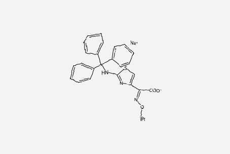 CC(C)ON=C(C(=O)[O-])c1csc(NC(c2ccccc2)(c2ccccc2)c2ccccc2)n1.[Na+]